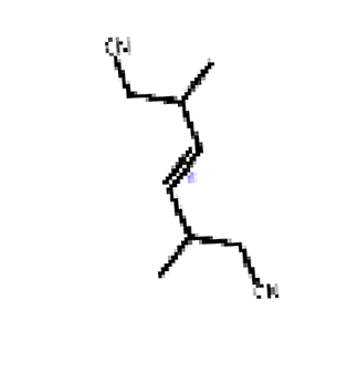 CC(/C=C/C(C)CC#N)CC#N